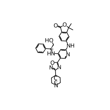 CC1(C)OC(=O)c2ccc(Nc3cc(N[C@H](CO)c4ccccc4)c(-c4nc(C56CCN(CC5)CC6)no4)cn3)cc21